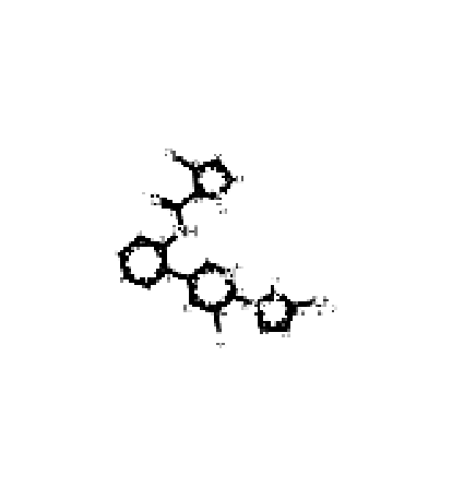 O=C(Nc1ccccc1-c1cnc(-n2ccc(C(F)(F)F)n2)c(F)c1)c1sccc1I